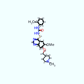 COc1cc2c(SNC(=O)Nc3ccccc3C)ncnc2cc1OCC1CCN(C)CC1